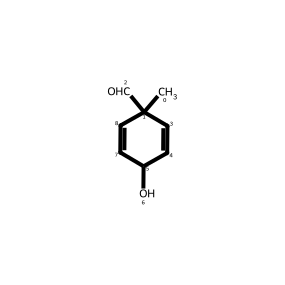 CC1(C=O)C=CC(O)C=C1